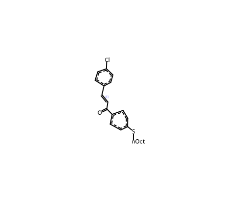 CCCCCCCCSc1ccc(C(=O)/C=C/c2ccc(Cl)cc2)cc1